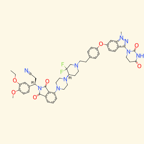 CCOc1cc([C@@H](CC#N)N2C(=O)c3cccc(N4CCN([C@@H]5CCN(CCc6ccc(Oc7ccc8c(N9CCC(=O)NC9=O)nn(C)c8c7)cc6)CC5(F)F)CC4)c3C2=O)ccc1OC